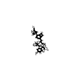 COC(=O)C1(c2ccc(F)cc2)ON=C2/C(=C/c3ccc(-n4cnc(C)c4)c4c3CC4)OC3(COC3)CN21